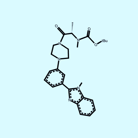 C[C@@H](C(=O)N1CCN(c2cccc(-c3nc4ccccc4n3C)c2)CC1)N(C)C(=O)OC(C)(C)C